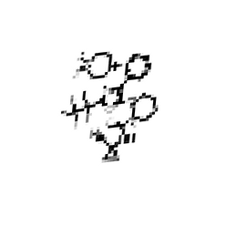 N#CC1(NC(=O)[C@@H]2CCCC[C@H]2c2oc(C(F)(F)C(F)(F)F)nc2-c2ccccc2N2CCS(=O)(=O)CC2)CC1